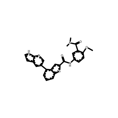 COc1ccc(NC(=O)c2cc3c(-c4cnc5[nH]ccc5c4)cccc3s2)cc1C(=O)N(C)C